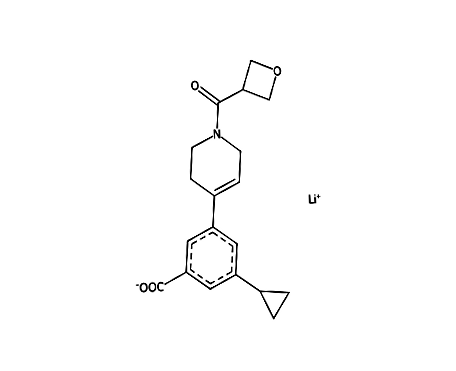 O=C([O-])c1cc(C2=CCN(C(=O)C3COC3)CC2)cc(C2CC2)c1.[Li+]